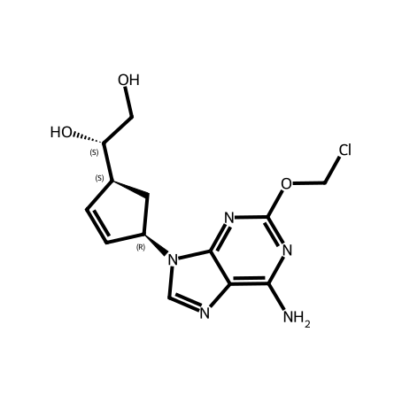 Nc1nc(OCCl)nc2c1ncn2[C@H]1C=C[C@@H]([C@H](O)CO)C1